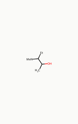 CCC(NC)C(C)O